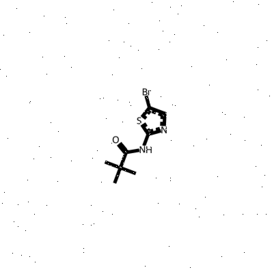 CC(C)(C)C(=O)Nc1ncc(Br)s1